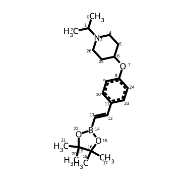 CC(C)N1CCC(Oc2ccc(C=CB3OC(C)(C)C(C)(C)O3)cc2)CC1